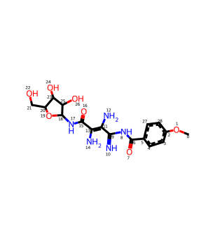 COc1ccc(C(=O)NC(=N)/C(N)=C(\N)C(=O)NC2OC(CO)C(O)C2O)cc1